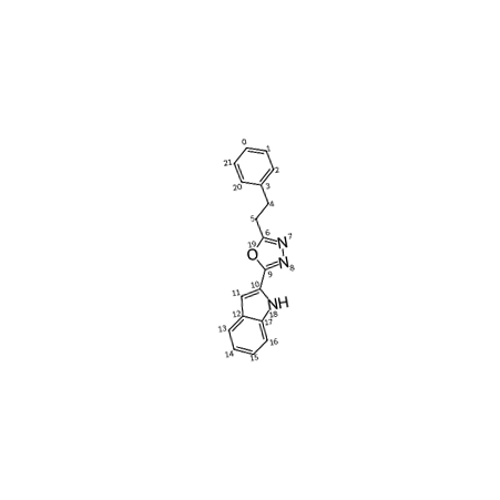 c1ccc(CCc2nnc(-c3cc4ccccc4[nH]3)o2)cc1